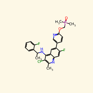 Cc1nc2cc(F)c(-c3ccc(OCP(C)(C)=O)nc3)cc2c(NC(C)c2ccccc2F)c1Cl